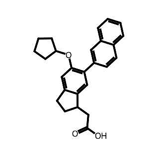 O=C(O)CC1CCc2cc(OC3CCCC3)c(-c3ccc4ccccc4c3)cc21